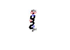 CBc1cccc(CC2COC3(CCN(C(=O)OC(C)(C)C)CC3)C2)n1